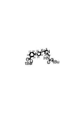 CC(C)(C)OC(=O)NCc1ncc(SC2CCN(c3cccc(C(=O)OC(C)(C)C)c3)C2)s1